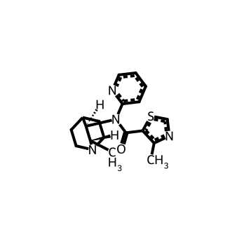 Cc1ncsc1C(=O)N(c1ccccn1)[C@@H]1C2CCN(CC2)[C@H]1C